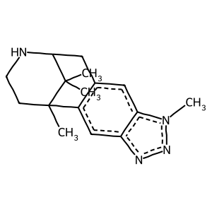 Cn1nnc2cc3c(cc21)CC1NCCC3(C)C1(C)C